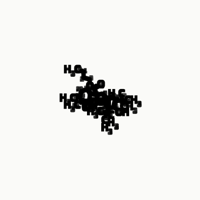 CCCCOC(=O)C(Cc1cc(C(C)(C)C)c(O)c(C(C)(C)C)c1)(C(=O)O)C1CCN(C)C(C)(C)C1(C)C